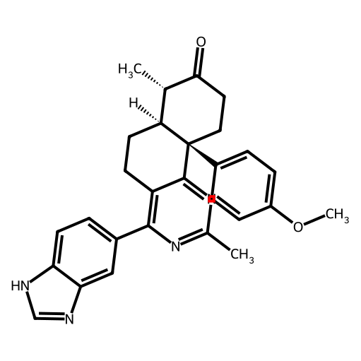 COc1ccc([C@]23CCC(=O)[C@@H](C)[C@@H]2CCc2c(-c4ccc5[nH]cnc5c4)nc(C)nc23)cc1